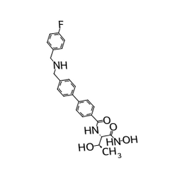 C[C@@H](O)[C@H](NC(=O)c1ccc(-c2ccc(CNCc3ccc(F)cc3)cc2)cc1)C(=O)NO